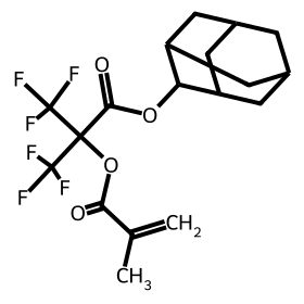 C=C(C)C(=O)OC(C(=O)OC1C2CC3CC(C2)CC1C3)(C(F)(F)F)C(F)(F)F